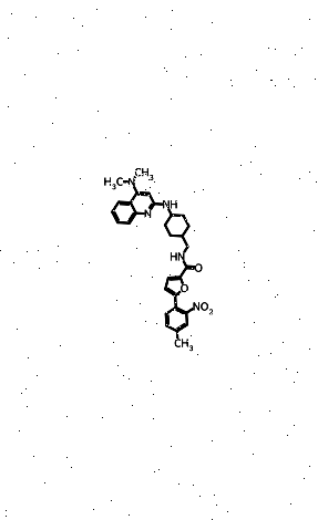 Cc1ccc(-c2ccc(C(=O)NCC3CCC(Nc4cc(N(C)C)c5ccccc5n4)CC3)o2)c([N+](=O)[O-])c1